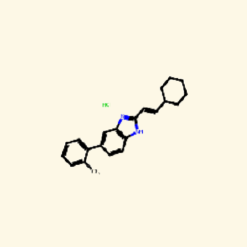 Cl.FC(F)(F)c1ccccc1-c1ccc2[nH]c(/C=C/C3CCCCC3)nc2c1